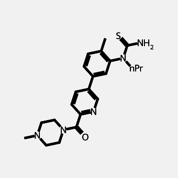 CCCN(C(N)=S)c1cc(-c2ccc(C(=O)N3CCN(C)CC3)nc2)ccc1C